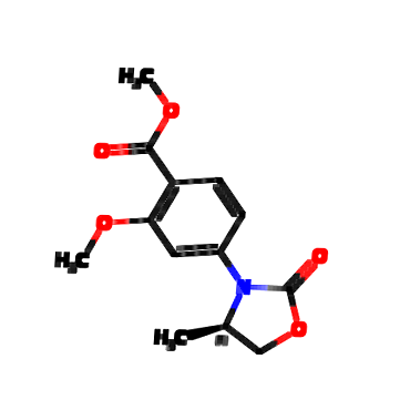 COC(=O)c1ccc(N2C(=O)OC[C@H]2C)cc1OC